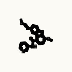 CO/C=N/c1ccc2oc3c(OC)ccc(C(=O)Nc4cccnc4)c3c2c1